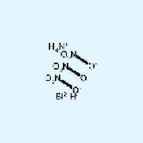 O=[N+]([O-])[O-].O=[N+]([O-])[O-].O=[N+]([O-])[O-].[BiH+2].[NH4+]